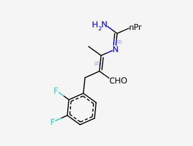 CCC/C(N)=N/C(C)=C(\C=O)Cc1cccc(F)c1F